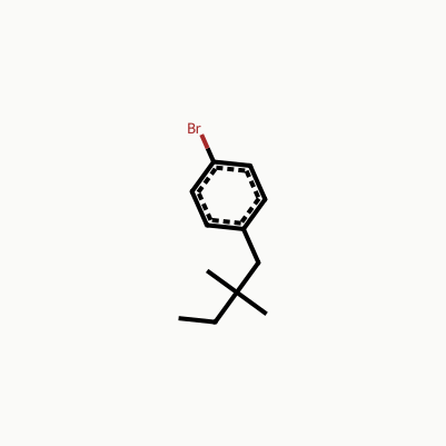 CCC(C)(C)Cc1ccc(Br)cc1